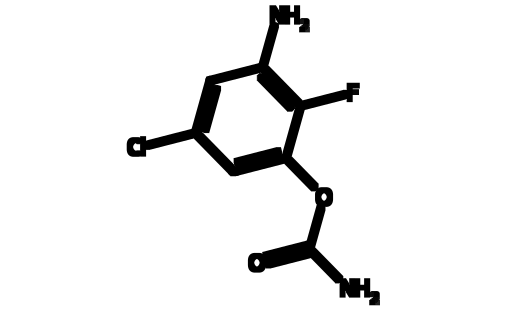 NC(=O)Oc1cc(Cl)cc(N)c1F